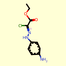 CCOC(=O)/C(Cl)=N/Nc1ccc(N)cc1